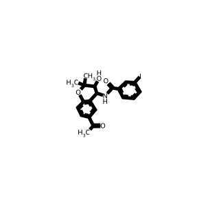 CC(=O)c1ccc2c(c1)C(NC(=O)c1cccc(I)c1)C(O)C(C)(C)O2